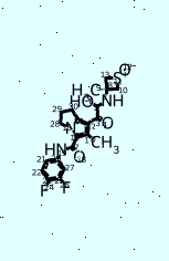 Cc1c(C(=O)C(O)N[C@]2(C)C[S@@+]([O-])C2)c2n(c1C(=O)Nc1ccc(F)c(F)c1)CCC2